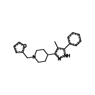 Cc1c(C2CCN(Cc3ccco3)CC2)n[nH]c1-c1ccccc1